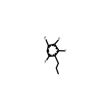 CCCc1c(F)[c]c(F)c(F)c1F